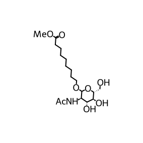 COC(=O)CCCCCCCCOC1O[C@H](CO)[C@@H](O)[C@H](O)[C@H]1NC(C)=O